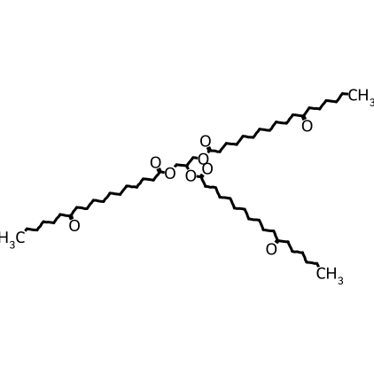 CCCCCCC(=O)CCCCCCCCCCC(=O)OCC(COC(=O)CCCCCCCCCCC(=O)CCCCCC)OC(=O)CCCCCCCCCCC(=O)CCCCCC